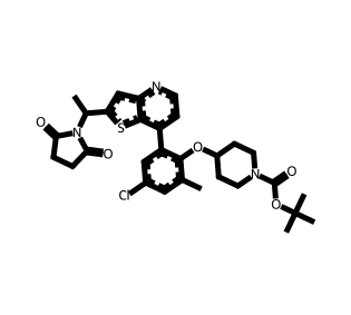 Cc1cc(Cl)cc(-c2ccnc3cc(C(C)N4C(=O)CCC4=O)sc23)c1OC1CCN(C(=O)OC(C)(C)C)CC1